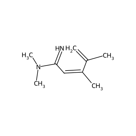 C=C(C)/C(C)=C\C(=N)N(C)C